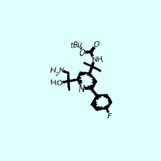 CC(C)(C)OC(=O)NC(C)(C)c1cc(-c2ccc(F)cc2)nc(C(C)(O)CN)c1